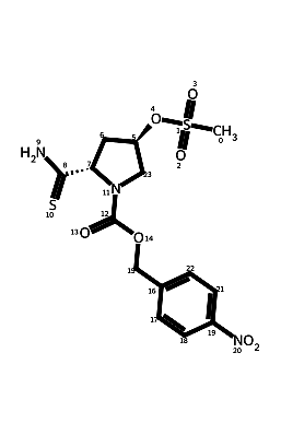 CS(=O)(=O)O[C@@H]1C[C@@H](C(N)=S)N(C(=O)OCc2ccc([N+](=O)[O-])cc2)C1